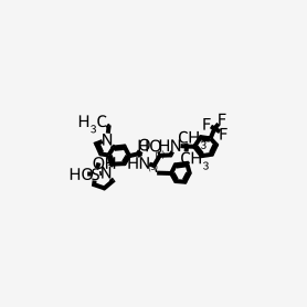 CCn1ccc2c(N3CCCS3(O)O)cc(C(=O)N[C@@H](Cc3ccccc3)[C@@H](O)CNC(C)(C)c3cccc(C(F)(F)F)c3)cc21